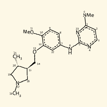 CNc1ccnc(Nc2ccc(OC)c(OC[C@H]3CN(C)C[C@@H]3C)c2)n1